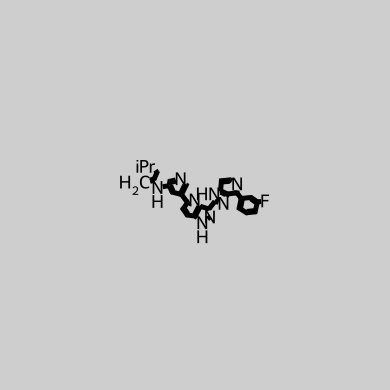 C=C(CC(C)C)Nc1cncc(-c2ccc3[nH]nc(-c4nc5c(-c6cccc(F)c6)nccc5[nH]4)c3n2)c1